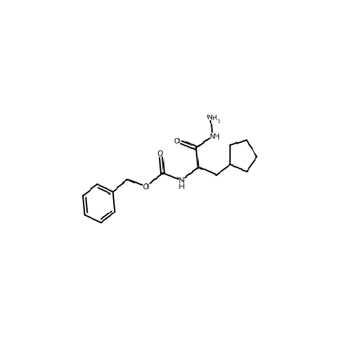 NNC(=O)C(CC1CCCC1)NC(=O)OCc1ccccc1